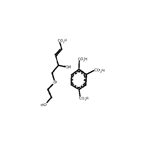 O=C(O)C=CC(O)COCCO.O=C(O)c1ccc(C(=O)O)c(C(=O)O)c1